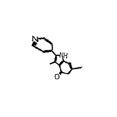 Cc1c(-c2ccncc2)[nH]c2c1C(=O)CC(C)C2